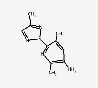 Cc1cnn(-c2nc(C)c(N)cc2C)n1